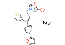 CN(C/C=C(/c1ccc(-c2ccco2)cc1)c1ccsc1)CC(=O)[O-].[Na+]